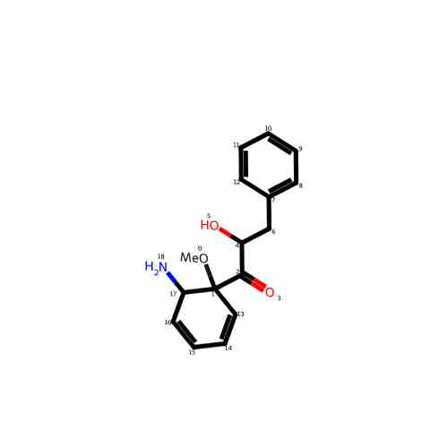 COC1(C(=O)C(O)Cc2ccccc2)C=CC=CC1N